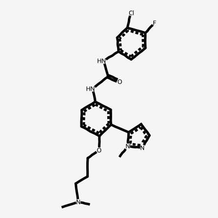 CN(C)CCCOc1ccc(NC(=O)Nc2ccc(F)c(Cl)c2)cc1-c1ccnn1C